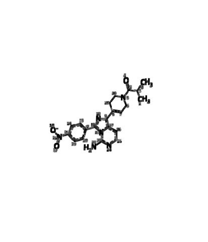 CC(C)C(=O)N1CC=C(c2nc(-c3ccc([N+](=O)[O-])cc3)n3c(N)nccc23)CC1